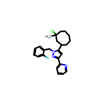 CC1(Cl)CCCCCC(c2cc(-c3ccccn3)nn2Cc2ccccc2F)C1